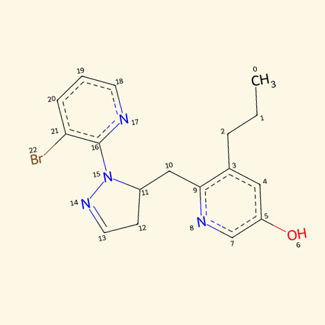 CCCc1cc(O)cnc1CC1CC=NN1c1ncccc1Br